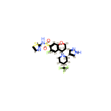 O=S(=O)(Nc1nccs1)c1cc2c(cc1F)[C@@H](N1CC[C@@H](C(F)(F)F)C[C@H]1c1cn[nH]c1)CCO2